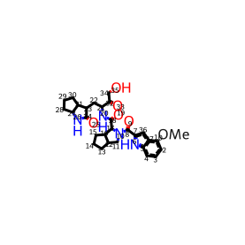 COc1cccc2[nH]c(C(=O)N3CC4CCCC4C3C(=O)NC(CC3C(=O)NC4CCCC43)C(=O)CO)cc12